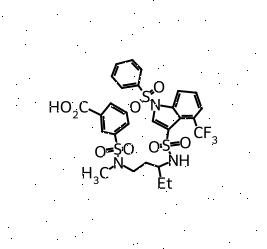 CCC(CCN(C)S(=O)(=O)c1cccc(C(=O)O)c1)NS(=O)(=O)c1cn(S(=O)(=O)c2ccccc2)c2cccc(C(F)(F)F)c12